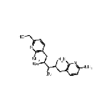 CC(Cc1ccc(N)nc1N)C(C(Cc1ccc(CO)nc1N)C(C)(C)C)C(C)(C)C